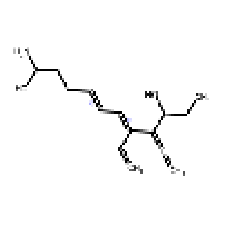 C=C=C(/C(C=C)=C/C=C/CCC(N)O)C(O)CC